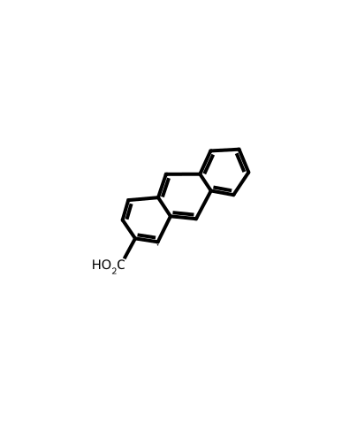 O=C(O)c1[c]c2cc3ccccc3cc2cc1